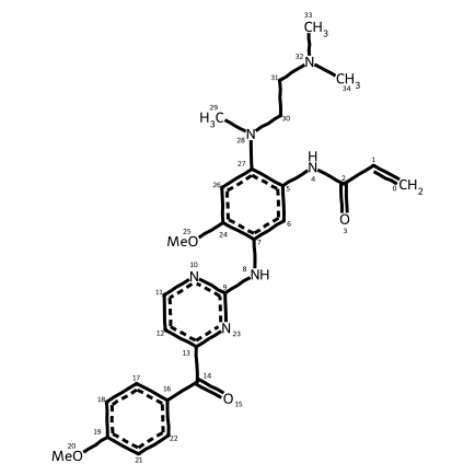 C=CC(=O)Nc1cc(Nc2nccc(C(=O)c3ccc(OC)cc3)n2)c(OC)cc1N(C)CCN(C)C